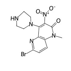 Cn1c(=O)c([N+](=O)[O-])c(N2CCNCC2)c2nc(Br)ccc21